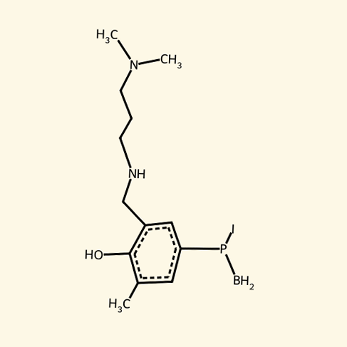 BP(I)c1cc(C)c(O)c(CNCCCN(C)C)c1